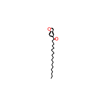 CCCCCCCCCCCCCCCCCC(=O)c1ccc2occc2c1